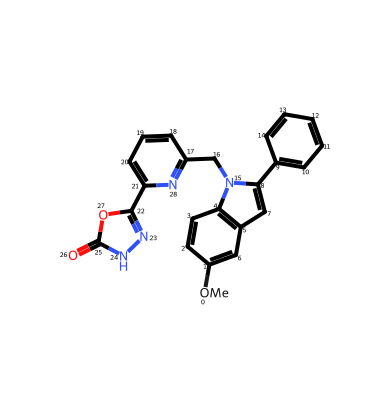 COc1ccc2c(c1)cc(-c1ccccc1)n2Cc1cccc(-c2n[nH]c(=O)o2)n1